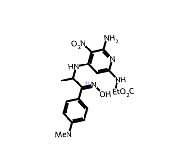 CCOC(=O)Nc1cc(NC(C)/C(=N/O)c2ccc(NC)cc2)c([N+](=O)[O-])c(N)n1